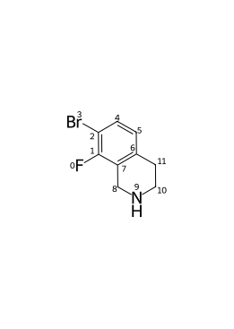 Fc1c(Br)ccc2c1CNCC2